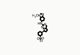 CCS(=O)(=O)c1cccc(-c2ccc3cnc(Nc4ccc5ncn(C)c5c4)nn23)c1